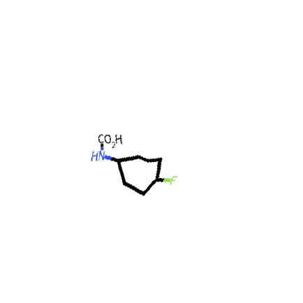 O=C(O)NC1CCC(F)CC1